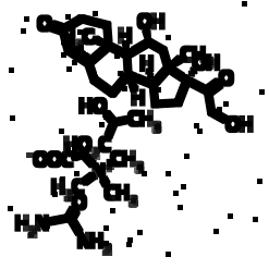 CC(O)C(=O)O.C[C@]12CCC(=O)C=C1CC[C@@H]1[C@@H]2[C@@H](O)C[C@@]2(C)[C@H]1CC[C@]2(O)C(=O)CO.C[N+](C)(C)CC(=O)[O-].NC(N)=O